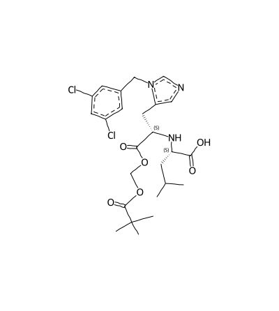 CC(C)C[C@H](N[C@@H](Cc1cncn1Cc1cc(Cl)cc(Cl)c1)C(=O)OCOC(=O)C(C)(C)C)C(=O)O